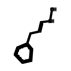 OB/C=C/Cc1ccccc1